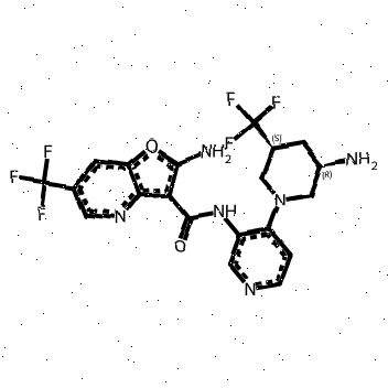 Nc1oc2cc(C(F)(F)F)cnc2c1C(=O)Nc1cnccc1N1C[C@H](N)C[C@H](C(F)(F)F)C1